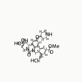 COC(=O)c1ccc(CN(C(=O)N2CCS(O)(O)CC2)c2ccc(OC3CCNCC3)cc2)c(F)c1.Cl